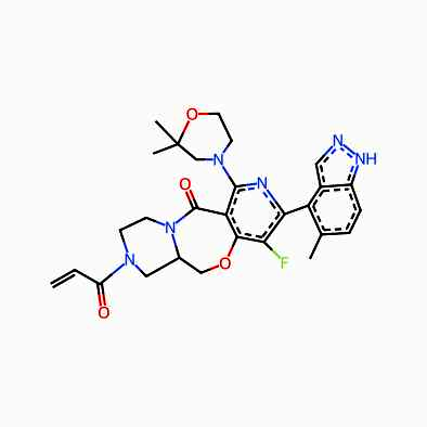 C=CC(=O)N1CCN2C(=O)c3c(N4CCOC(C)(C)C4)nc(-c4c(C)ccc5[nH]ncc45)c(F)c3OCC2C1